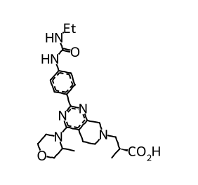 CCNC(=O)Nc1ccc(-c2nc3c(c(N4CCOCC4C)n2)CCN(C[C@H](C)C(=O)O)C3)cc1